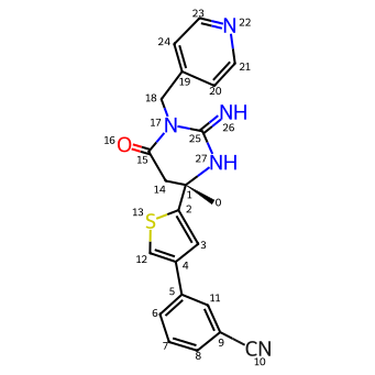 C[C@@]1(c2cc(-c3cccc(C#N)c3)cs2)CC(=O)N(Cc2ccncc2)C(=N)N1